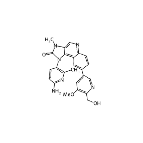 COc1cc(-c2ccc3ncc4c(c3c2)n(-c2ccc(N)nc2C)c(=O)n4C)cnc1CO